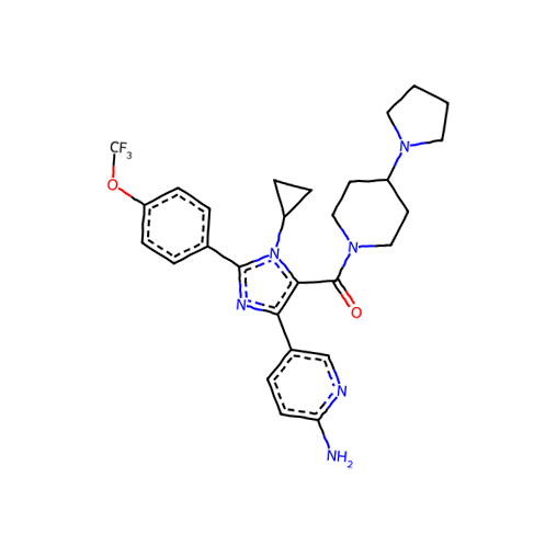 Nc1ccc(-c2nc(-c3ccc(OC(F)(F)F)cc3)n(C3CC3)c2C(=O)N2CCC(N3CCCC3)CC2)cn1